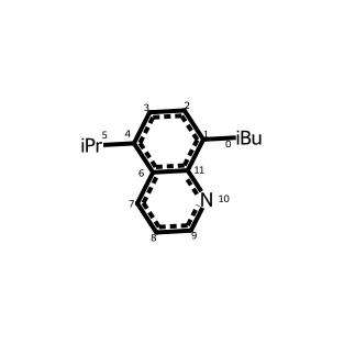 CCC(C)c1ccc(C(C)C)c2cccnc12